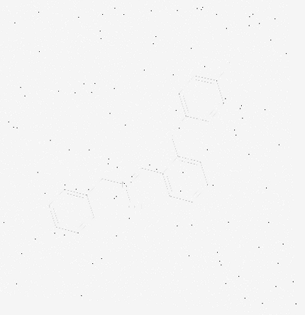 O/[N+](=C\c1ccccc1Sc1ccc(Cl)cc1)Cc1ccccc1